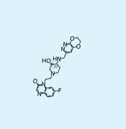 O=c1cnc2ccc(F)cc2n1CCN1CC[C@H](NCc2cc3c(nn2)OCCO3)[C@H](O)C1